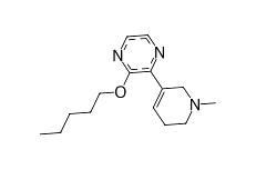 CCCCCOc1nccnc1C1=CCCN(C)C1